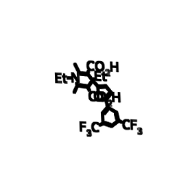 CCN1C(C)=C(C(=O)O)C(CC)(c2ccc(-c3cc(C(F)(F)F)cc(C(F)(F)F)c3)o2)C(C(=O)O)=C1C